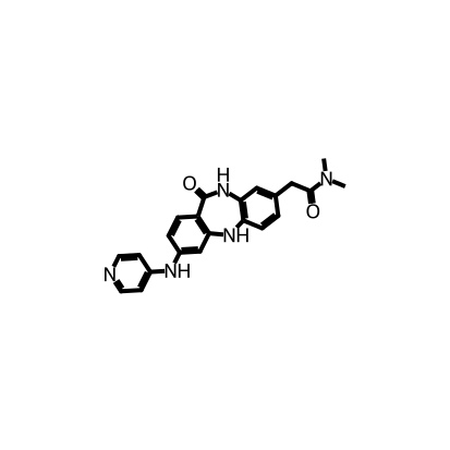 CN(C)C(=O)Cc1ccc2c(c1)NC(=O)c1ccc(Nc3ccncc3)cc1N2